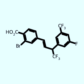 O=C(O)c1ccc(/C=C/C(c2cc(F)cc(C(F)(F)F)c2)C(F)(F)F)cc1Br